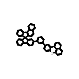 c1cc(-c2ccc3c(c2)-c2cccc4cccc(c24)O3)cc(-c2ccc3c(c2)C2(c4ccccc4-3)c3ccccc3-c3c2ccc2ccccc32)c1